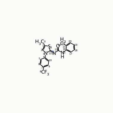 Cc1cn(-c2ccc(C(F)(F)F)cc2)/c(=N/C(=O)Nc2ccccc2C)s1